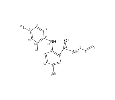 C=CCNC(=O)c1cc(Br)ccc1Nc1ccc(I)cc1C